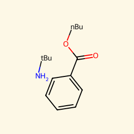 CC(C)(C)N.CCCCOC(=O)c1ccccc1